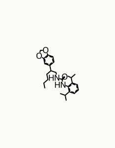 CCCCC(CNC(=O)Nc1c(C(C)C)cccc1C(C)C)c1ccc2c(c1)OCO2